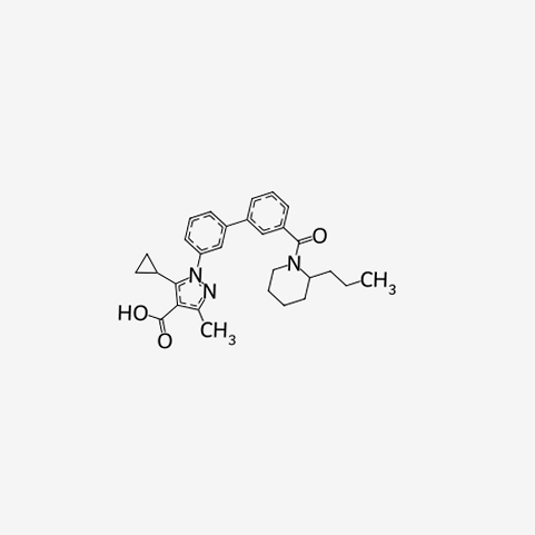 CCCC1CCCCN1C(=O)c1cccc(-c2cccc(-n3nc(C)c(C(=O)O)c3C3CC3)c2)c1